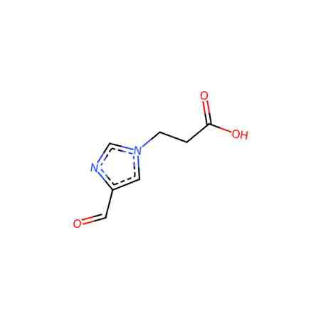 O=Cc1cn(CCC(=O)O)cn1